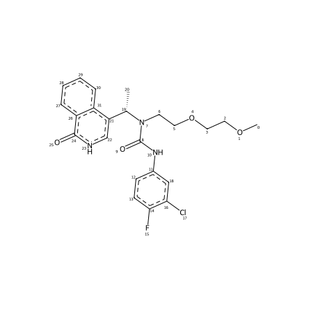 COCCOCCN(C(=O)Nc1ccc(F)c(Cl)c1)[C@@H](C)c1c[nH]c(=O)c2ccccc12